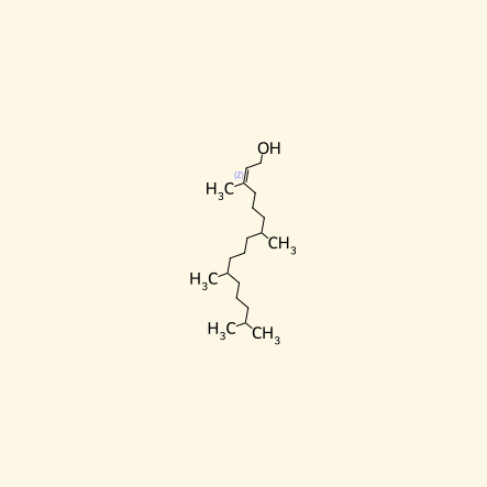 C/C(=C/CO)CCCC(C)CCCC(C)CCCC(C)C